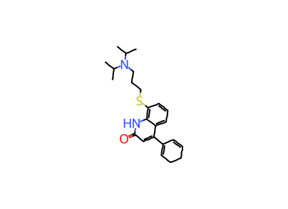 CC(C)N(CCCSc1cccc2c(C3=CCCC=C3)cc(=O)[nH]c12)C(C)C